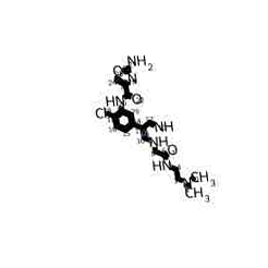 CN(C)CCNC(=O)CN/C=C(\C=N)c1ccc(Cl)c(NC(=O)c2coc(N)n2)c1